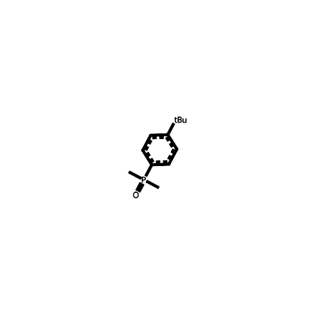 CC(C)(C)c1ccc(P(C)(C)=O)cc1